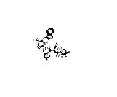 CC(C)(/C=C(\C#N)C(=O)N1C[C@@H](F)C[C@@H]1COC(=O)N[C@@H](Cc1coc2ccccc12)B(O)O)N1CCC(F)(F)C1